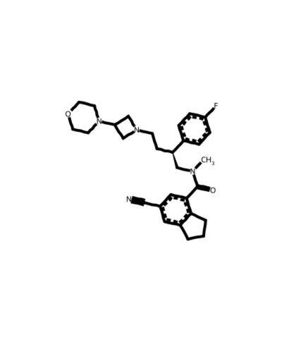 CN(C[C@@H](CCN1CC(N2CCOCC2)C1)c1ccc(F)cc1)C(=O)c1cc(C#N)cc2c1CCC2